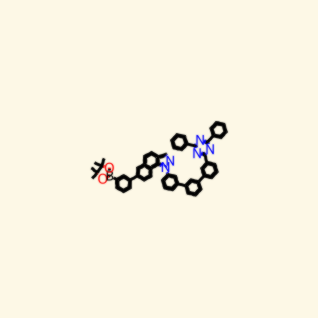 CC1(C)OB(c2cccc(-c3ccc4c(ccc5cnn(-c6cccc(-c7cccc(-c8cccc(-c9nc(-c%10ccccc%10)nc(-c%10ccccc%10)n9)c8)c7)c6)c54)c3)c2)OC1(C)C